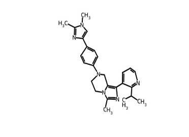 Cc1nc(-c2ccc(N3CCn4c(C)nc(-c5cccnc5C(C)C)c4C3)cc2)cn1C